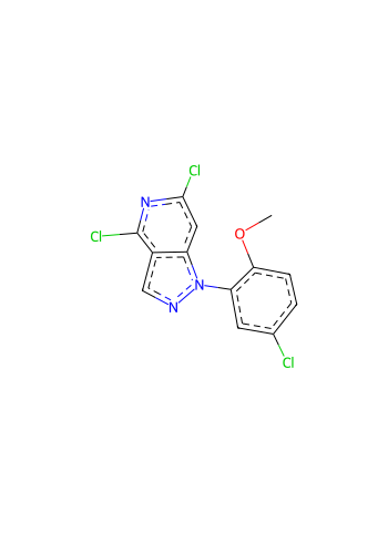 COc1ccc(Cl)cc1-n1ncc2c(Cl)nc(Cl)cc21